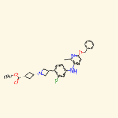 Cc1nc(OCc2ccccc2)ccc1Nc1ccc(C2CN([C@H]3C[C@@H](C(=O)OC(C)(C)C)C3)C2)c(F)c1